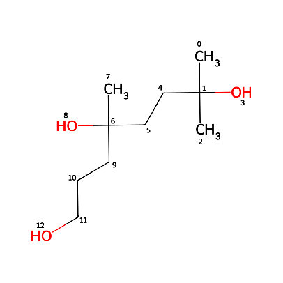 CC(C)(O)CCC(C)(O)CCCO